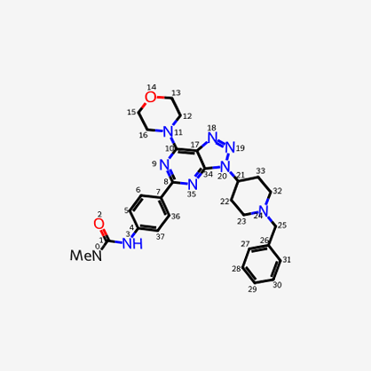 CNC(=O)Nc1ccc(-c2nc(N3CCOCC3)c3nnn(C4CCN(Cc5ccccc5)CC4)c3n2)cc1